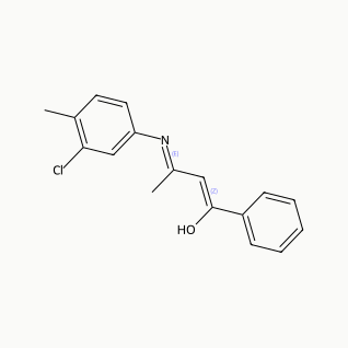 CC(/C=C(\O)c1ccccc1)=N\c1ccc(C)c(Cl)c1